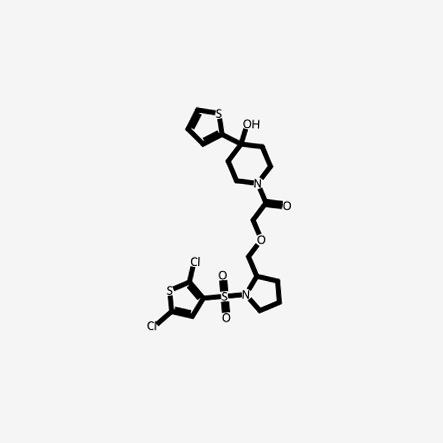 O=C(COCC1CCCN1S(=O)(=O)c1cc(Cl)sc1Cl)N1CCC(O)(c2cccs2)CC1